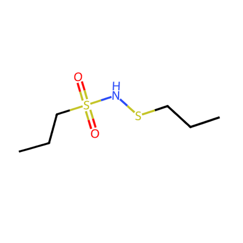 CCCSNS(=O)(=O)CCC